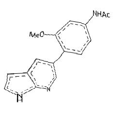 COc1cc(NC(C)=O)ccc1-c1cnc2[nH]ccc2c1